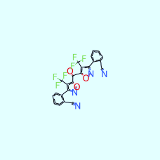 N#Cc1ccccc1-c1noc(C(=O)c2onc(-c3ccccc3C#N)c2C(F)(F)F)c1C(F)(F)F